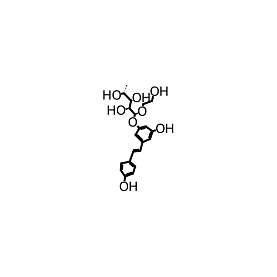 C[C@@H](O)C(O)[C@H](O)[C@@H](OCCO)Oc1cc(O)cc(/C=C/c2ccc(O)cc2)c1